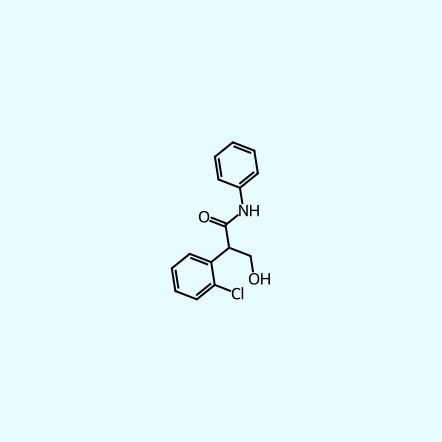 O=C(Nc1ccccc1)C(CO)c1ccccc1Cl